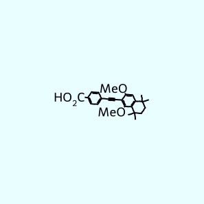 COc1cc2c(c(OC)c1C#Cc1ccc(C(=O)O)cc1)C(C)(C)CCC2(C)C